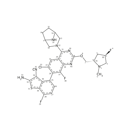 CN1C[C@H](F)C[C@H]1COc1nc(N2CC3CCC(C2)N3)c2cc(Cl)c(-c3ccc(F)c4sc(N)c(C#N)c34)c(F)c2n1